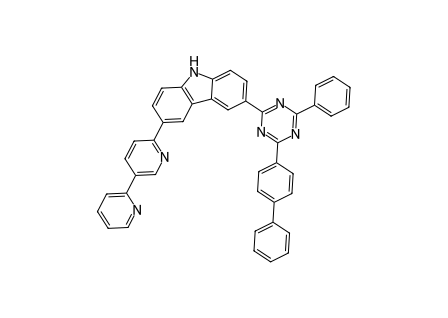 c1ccc(-c2ccc(-c3nc(-c4ccccc4)nc(-c4ccc5[nH]c6ccc(-c7ccc(-c8ccccn8)cn7)cc6c5c4)n3)cc2)cc1